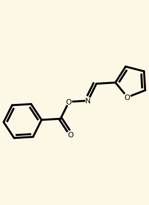 O=C(O/N=C/c1ccco1)c1ccccc1